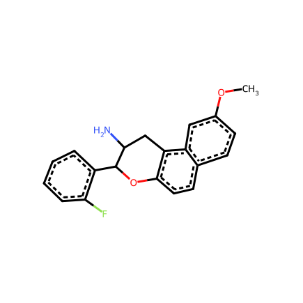 COc1ccc2ccc3c(c2c1)CC(N)C(c1ccccc1F)O3